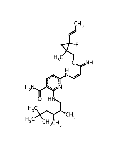 C/C=C/C1(F)CC1(C)COC(=N)/C=C\Nc1ccc(C(N)=O)c(NC[C@@H](C)[C@@H](C)CC(C)(C)C)n1